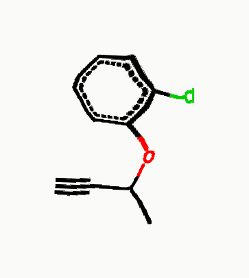 C#CC(C)Oc1ccccc1Cl